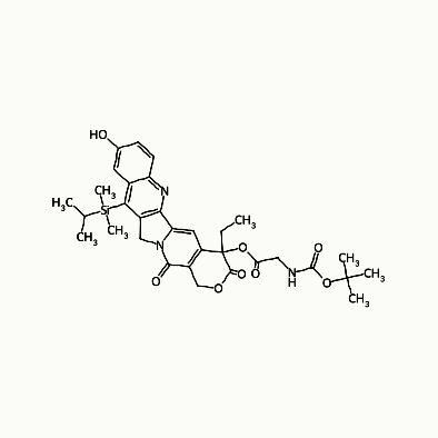 CCC1(OC(=O)CNC(=O)OC(C)(C)C)C(=O)OCc2c1cc1n(c2=O)Cc2c-1nc1ccc(O)cc1c2[Si](C)(C)C(C)C